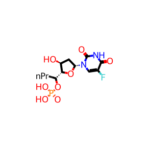 CCCC(OP(=O)(O)O)[C@H]1O[C@@H](n2cc(F)c(=O)[nH]c2=O)C[C@@H]1O